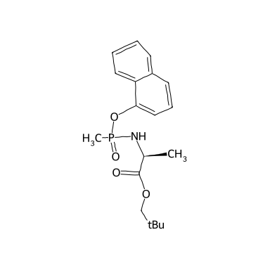 C[C@H](NP(C)(=O)Oc1cccc2ccccc12)C(=O)OCC(C)(C)C